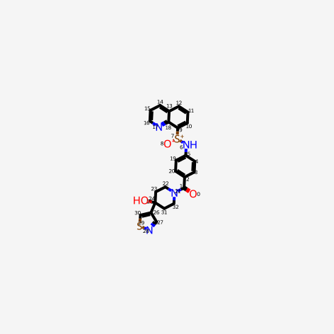 O=C(c1ccc(N[S+]([O-])c2cccc3cccnc23)cc1)N1CCC(O)(c2cnsc2)CC1